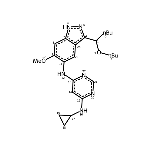 CCCCC(OC(C)(C)C)c1n[nH]c2cc(OC)c(Nc3cc(NC4CC4)ncn3)cc12